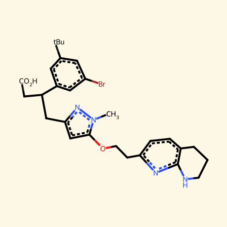 Cn1nc(CC(CC(=O)O)c2cc(Br)cc(C(C)(C)C)c2)cc1OCCc1ccc2c(n1)NCCC2